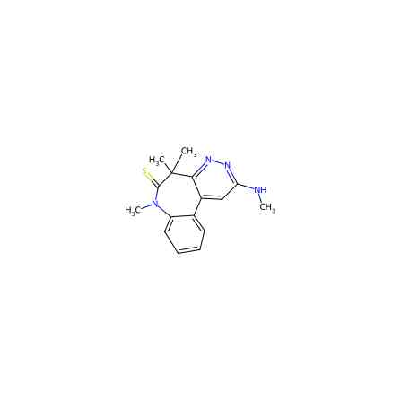 CNc1cc2c(nn1)C(C)(C)C(=S)N(C)c1ccccc1-2